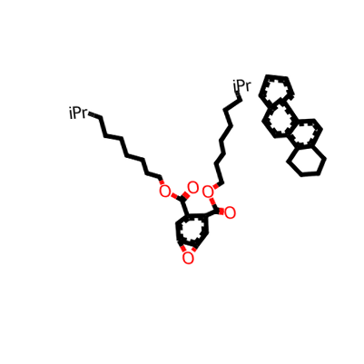 CC(C)CCCCCCCOC(=O)c1cc2c(cc1C(=O)OCCCCCCCC(C)C)O2.c1ccc2c(c1)ccc1c3c(ccc12)CCCC3